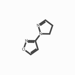 C1=NN(c2ccon2)CC1